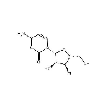 NC1C=CN([C@@H]2O[C@H](CO)[C@@H](O)[C@H]2O)C(=O)S1